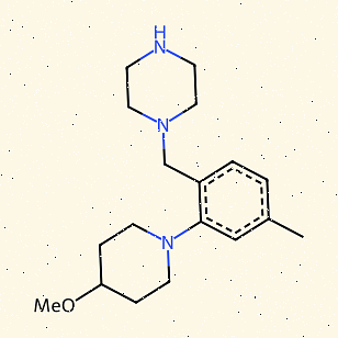 COC1CCN(c2cc(C)ccc2CN2CCNCC2)CC1